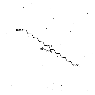 CCCCCCCCCCCCCCCCCCNCCCCCCCCCCCCCCCCCC.CCCCN